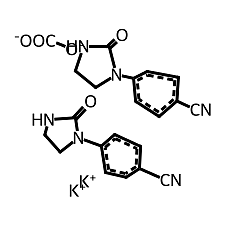 N#Cc1ccc(N2CCNC2=O)cc1.N#Cc1ccc(N2CCNC2=O)cc1.O=C([O-])[O-].[K+].[K+]